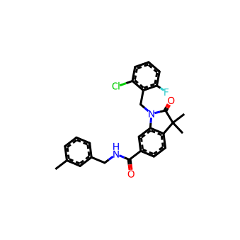 Cc1cccc(CNC(=O)c2ccc3c(c2)N(Cc2c(F)cccc2Cl)C(=O)C3(C)C)c1